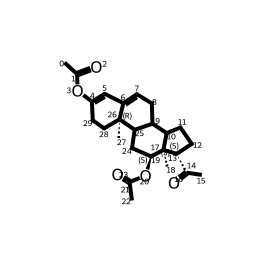 CC(=O)OC1=CC2=CCC3C4CC[C@H](C(C)=O)[C@@]4(C)[C@@H](OC(C)=O)CC3[C@@]2(C)CC1